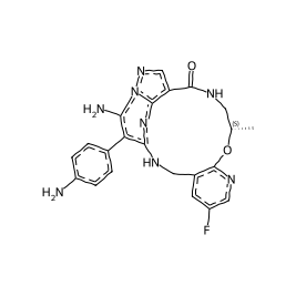 C[C@H]1CNC(=O)c2cnn3c(N)c(-c4ccc(N)cc4)c(nc23)NCc2cc(F)cnc2O1